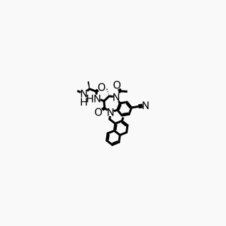 CN[C@@H](C)C(=O)NC1C(=O)N(CC2=C3C=CC=CC3CC=C2C)c2ccc(C#N)cc2N(C(C)=O)[C@H]1C